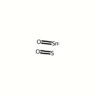 O=S.[O]=[Sn]